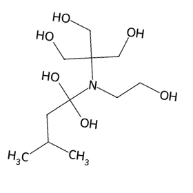 CC(C)CC(O)(O)N(CCO)C(CO)(CO)CO